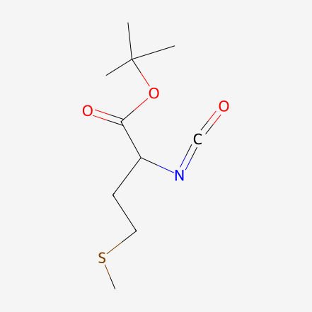 CSCCC(N=C=O)C(=O)OC(C)(C)C